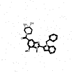 COc1cc(C(=O)N2CC[C@@H](O)[C@@H](N)C2)cc2nc(-c3cc4ccccc4n3Cc3ccccc3)n(C)c12